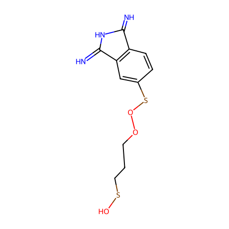 N=C1NC(=N)c2cc(SOOCCCSO)ccc21